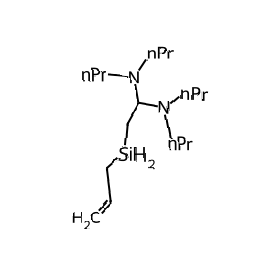 C=CC[SiH2]CC(N(CCC)CCC)N(CCC)CCC